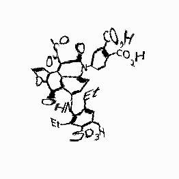 CCc1cc(C)c(S(=O)(=O)O)c(CC)c1Nc1ccc2c3c1C(=O)c1occc1-c3c(S(C)(=O)=O)c(=O)n2-c1ccc(C(=O)O)c(C(=O)O)c1